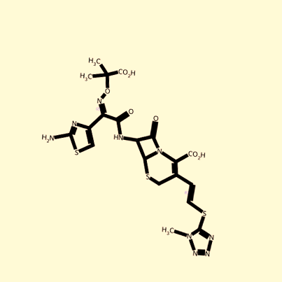 Cn1nnnc1S/C=C/C1=C(C(=O)O)N2C(=O)C(NC(=O)/C(=N\OC(C)(C)C(=O)O)c3csc(N)n3)C2SC1